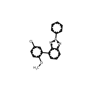 COc1ccc(Cl)cc1-c1cccc2nn(-c3ccccc3)nc12